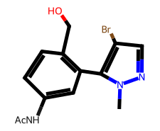 CC(=O)Nc1ccc(CO)c(-c2c(Br)cnn2C)c1